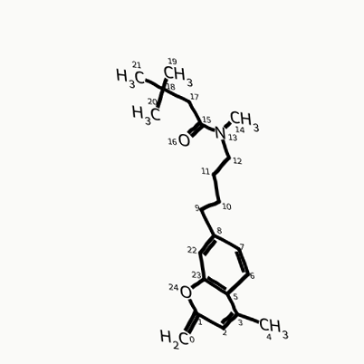 C=C1C=C(C)c2ccc(CCCCN(C)C(=O)CC(C)(C)C)cc2O1